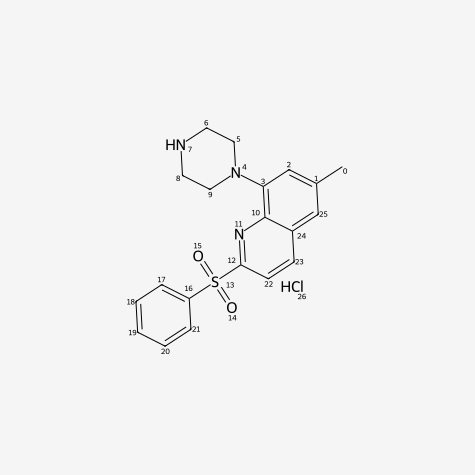 Cc1cc(N2CCNCC2)c2nc(S(=O)(=O)c3ccccc3)ccc2c1.Cl